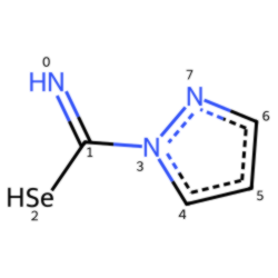 N=C([SeH])n1cccn1